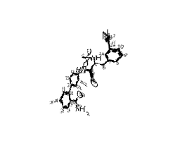 CS(=O)(=O)N[C@@H](Cc1cccc(C#N)c1)C(=O)Nc1ccc(-c2ccccc2C(N)=O)cc1